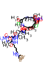 C=C/C(=C\C=C(/C)NC(=O)[C@H](CCCNC(N)=O)NC(=O)[C@@H](NC(=O)CCCCCNC(CBr)CBr)C(C)C)C(=O)N(C)CC(=O)O[C@H]1CC(=O)N(C)c2cc(cc(OC)c2Cl)C/C(C)=C/C=C/[C@@H](OC)[C@@]2(O)C[C@H](OC(=O)N2)[C@@H](Cl)[C@@H]2O[C@@]12C